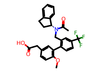 COc1ccc(CC(=O)O)cc1-c1ccc(C(F)(F)F)cc1CN(C(C)=O)[C@@H]1CCc2ccccc21